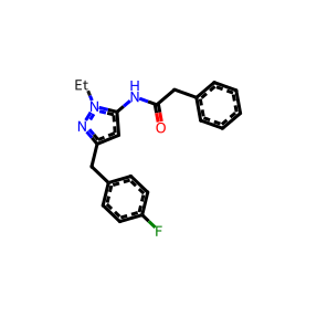 CCn1nc(Cc2ccc(F)cc2)cc1NC(=O)Cc1ccccc1